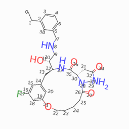 CCc1cccc(CNC[C@@H](O)[C@@H]2Cc3cc(F)cc(c3)OCCCCC(=O)N(C)[C@@H](CC(N)=O)C(=O)N2)c1